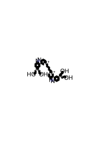 OCCN(CCO)c1ccc(/N=N\c2cc[n+](CCCCC[n+]3ccc(/N=N\c4ccc(N(CCO)CCO)cc4)cc3)cc2)cc1